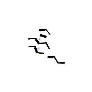 C/C=C/C.C/C=C/CC.C=C.C=CC.C=CCC